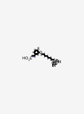 CCO[Si](CCCCCCCCOc1cc(/C=C/C(=O)O)ccc1F)(OCC)OCC